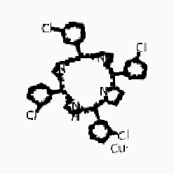 Clc1cccc(-c2c3nc(c(-c4cccc(Cl)c4)c4ccc([nH]4)c(-c4cccc(Cl)c4)c4nc(c(-c5cccc(Cl)c5)c5ccc2[nH]5)C=C4)C=C3)c1.[Cu]